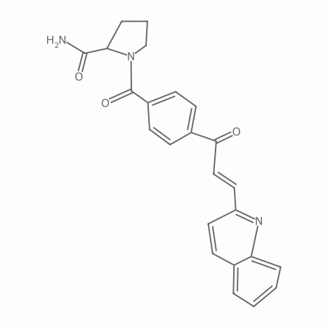 NC(=O)C1CCCN1C(=O)c1ccc(C(=O)/C=C/c2ccc3ccccc3n2)cc1